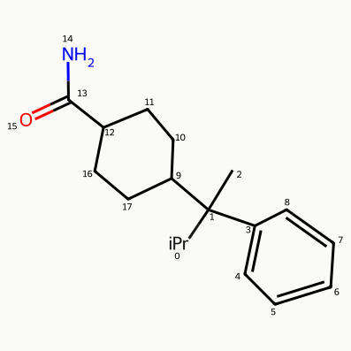 CC(C)C(C)(c1ccccc1)C1CCC(C(N)=O)CC1